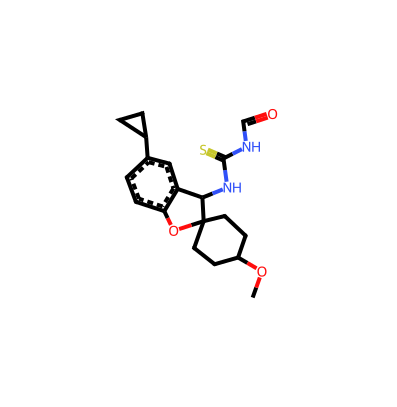 COC1CCC2(CC1)Oc1ccc(C3CC3)cc1C2NC(=S)NC=O